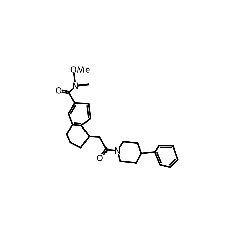 CON(C)C(=O)c1ccc2c(c1)CCCC2CC(=O)N1CCC(c2ccccc2)CC1